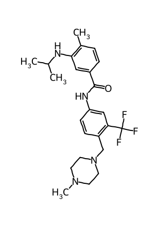 Cc1ccc(C(=O)Nc2ccc(CN3CCN(C)CC3)c(C(F)(F)F)c2)cc1NC(C)C